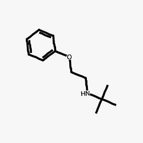 CC(C)(C)NCCOc1ccccc1